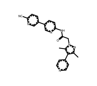 Cc1nn(CC(=O)Nc2ccc(-c3ccc(C#N)nc3)cn2)c(C)c1-c1ccncc1